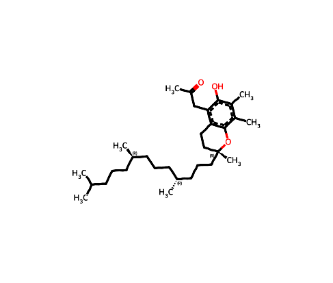 CC(=O)Cc1c(O)c(C)c(C)c2c1CC[C@@](C)(CCC[C@H](C)CCC[C@H](C)CCCC(C)C)O2